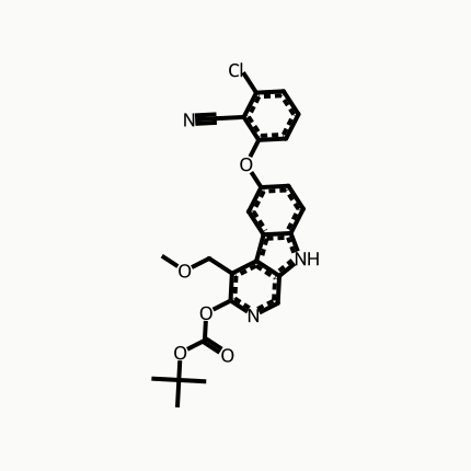 COCc1c(OC(=O)OC(C)(C)C)ncc2[nH]c3ccc(Oc4cccc(Cl)c4C#N)cc3c12